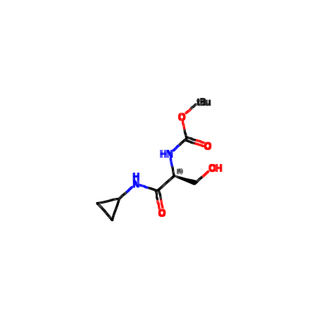 CC(C)(C)OC(=O)N[C@@H](CO)C(=O)NC1CC1